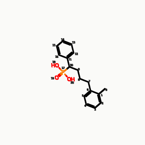 Cc1ccccc1CCCC(c1ccccc1)P(=O)(O)O